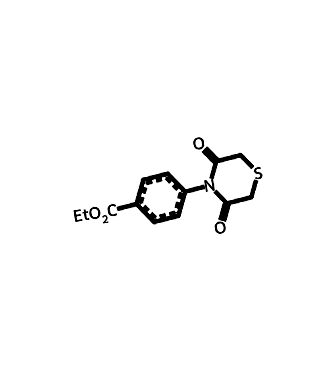 CCOC(=O)c1ccc(N2C(=O)CSCC2=O)cc1